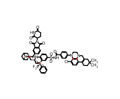 CC1(C)CCC(c2ccc(Cl)cc2)=C(CN2CCN(c3ccc(C(=O)NS(=O)(=O)c4ccc(N[C@H](CCN5C6CC5CN(Cc5ccc7c(c5)C(=O)N(C5CCC(=O)NC5=O)C7=O)C6)CSc5ccccc5)c(S(=O)(=O)C(F)(F)F)c4)cc3)CC2)C1